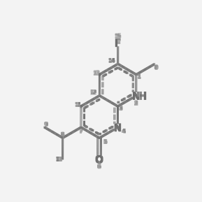 Cc1[nH]c2nc(=O)c(C(C)C)cc-2cc1F